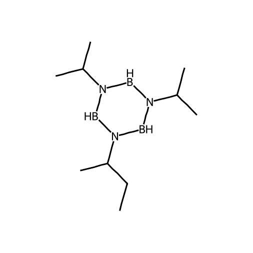 CCC(C)N1BN(C(C)C)BN(C(C)C)B1